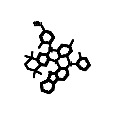 Cc1cc2c3c(c1)N(c1ccccc1C)c1ccc4c(sc5ccccc54)c1B3c1cc3c(cc1N2c1ccc(C(C)(C)C)cc1C)C(C)(C)CCC3(C)C